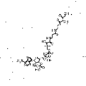 CC(C)(COP(=O)(O)OP(=O)(O)OC[C@H]1O[C@@H](n2cnc3c(N)ncnc32)[C@H](O)[C@@H]1OP(=O)(O)O)C(O)C(=O)NCCC(=O)NCCSC(=O)C(O)C(=O)CO